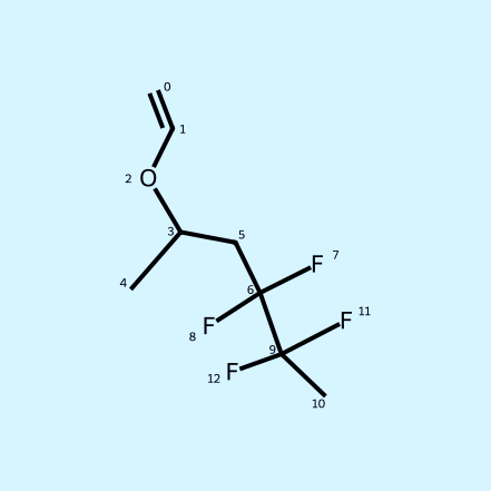 C=COC(C)CC(F)(F)C(C)(F)F